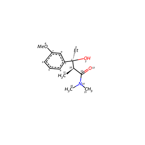 CC[C@@](O)(c1cccc(OC)c1)[C@H](C)C(=O)N(C)C